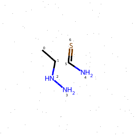 CCNN.NC=S